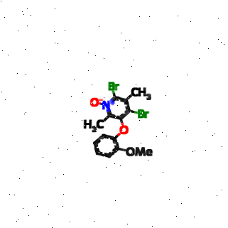 COc1ccccc1Oc1c(Br)c(C)c(Br)[n+]([O-])c1C